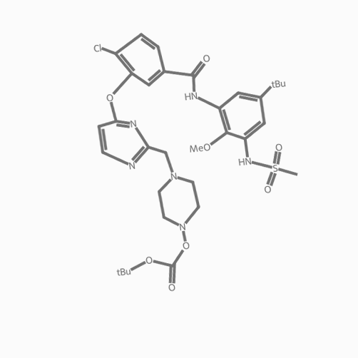 COc1c(NC(=O)c2ccc(Cl)c(Oc3ccnc(CN4CCN(OC(=O)OC(C)(C)C)CC4)n3)c2)cc(C(C)(C)C)cc1NS(C)(=O)=O